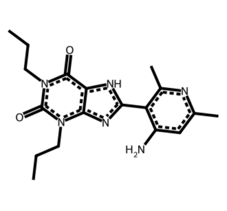 CCCn1c(=O)c2[nH]c(-c3c(N)cc(C)nc3C)nc2n(CCC)c1=O